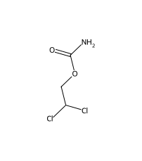 NC(=O)OCC(Cl)Cl